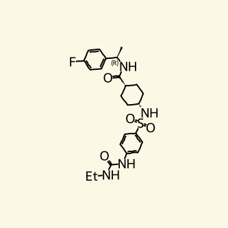 CCNC(=O)Nc1ccc(S(=O)(=O)N[C@H]2CC[C@H](C(=O)N[C@H](C)c3ccc(F)cc3)CC2)cc1